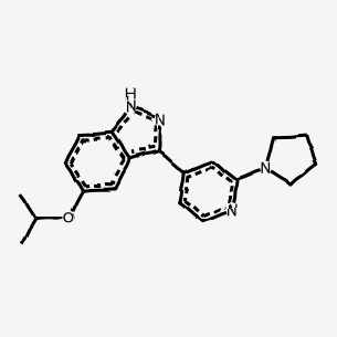 CC(C)Oc1ccc2[nH]nc(-c3ccnc(N4CCCC4)c3)c2c1